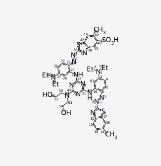 CCN(CC)c1ccc(/N=N/c2nc3ccc(C)cc3s2)c(Nc2nc(Nc3cc(N(CC)CC)ccc3/N=N/c3nc4cc(S(=O)(=O)O)c(C)cc4s3)nc(N(CCO)CCO)n2)c1